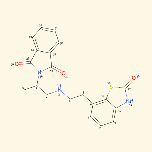 CC(CNCCc1cccc2[nH]c(=O)sc12)N1C(=O)c2ccccc2C1=O